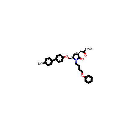 COC(=O)C[C@@H]1C[C@@H](COc2ccc(-c3ccc(C#N)cc3)cc2)N(CCCCOc2ccccc2)C1=O